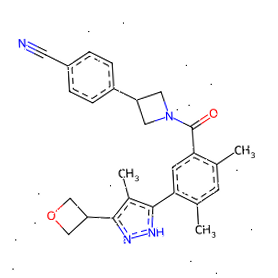 Cc1cc(C)c(-c2[nH]nc(C3COC3)c2C)cc1C(=O)N1CC(c2ccc(C#N)cc2)C1